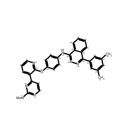 CNc1nccc(-c2cccnc2Oc2ccc(Nc3nnc(-c4cc(C)cc(C)c4)c4ccccc34)cc2)n1